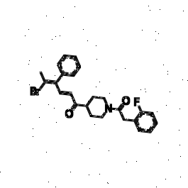 C/C(Br)=C(/C=C/C(=O)C1CCN(C(=O)Cc2ccccc2F)CC1)c1ccccc1